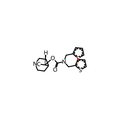 O=C(O[C@H]1CN2CCC1CC2)N(Cc1cccs1)Cc1cccs1